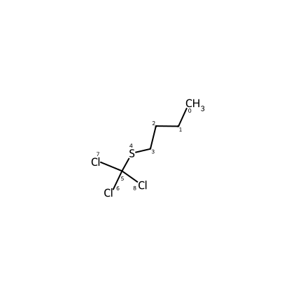 CCCCSC(Cl)(Cl)Cl